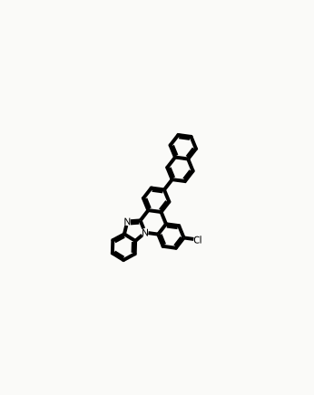 Clc1ccc2c(c1)c1cc(-c3ccc4ccccc4c3)ccc1c1nc3ccccc3n21